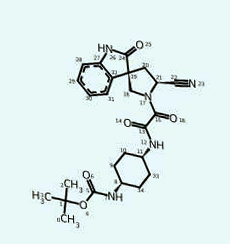 CC(C)(C)OC(=O)N[C@H]1CC[C@@H](NC(=O)C(=O)N2C[C@]3(C[C@H]2C#N)C(=O)Nc2ccccc23)CC1